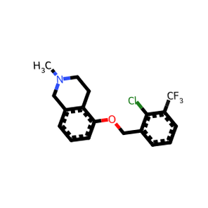 CN1CCc2c(cccc2OCc2cccc(C(F)(F)F)c2Cl)C1